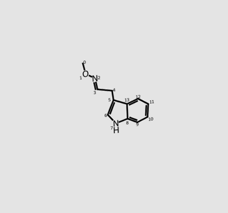 CON=CCc1c[nH]c2ccccc12